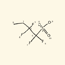 CCC(F)(F)C(F)(F)S([O])(=O)=O